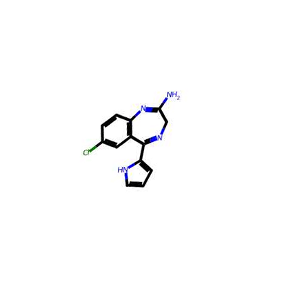 NC1=Nc2ccc(Cl)cc2C(c2ccc[nH]2)=NC1